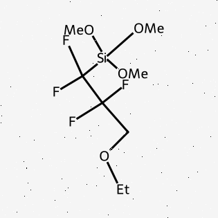 CCOCC(F)(F)C(F)(F)[Si](OC)(OC)OC